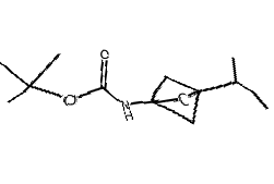 CC(C)C12CC(NC(=O)OC(C)(C)C)(C1)C2